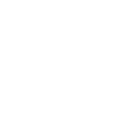 c1ccc(COc2ccc(CNc3c4c(nc5ccccc35)CCCC4)cc2)cc1